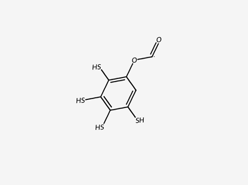 O=[C]Oc1cc(S)c(S)c(S)c1S